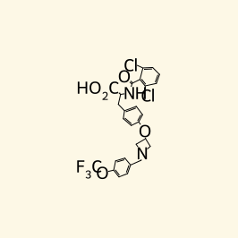 O=C(N[C@@H](Cc1ccc(OC2CN(Cc3ccc(OC(F)(F)F)cc3)C2)cc1)C(=O)O)c1c(Cl)cccc1Cl